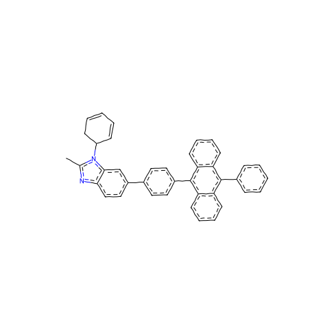 Cc1nc2ccc(-c3ccc(-c4c5ccccc5c(-c5ccccc5)c5ccccc45)cc3)cc2n1C1C=CC=CC1